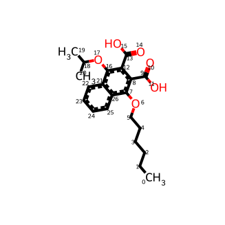 CCCCCCOc1c(C(=O)O)c(C(=O)O)c(OC(C)C)c2ccccc12